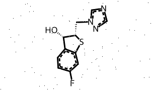 O[C@H]1c2ccc(F)cc2S[C@H]1Cn1cncn1